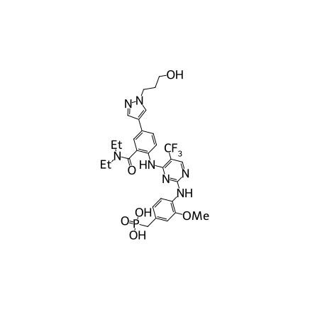 CCN(CC)C(=O)c1cc(-c2cnn(CCCO)c2)ccc1Nc1nc(Nc2ccc(CP(=O)(O)O)cc2OC)ncc1C(F)(F)F